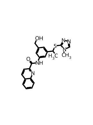 CC(Sc1nncn1C)c1cc(CO)cc(NC(=O)c2ccc3ccccc3n2)c1